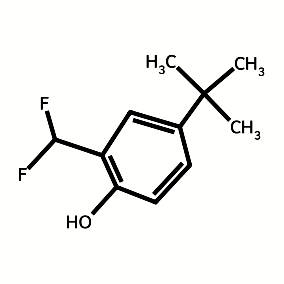 CC(C)(C)c1ccc(O)c(C(F)F)c1